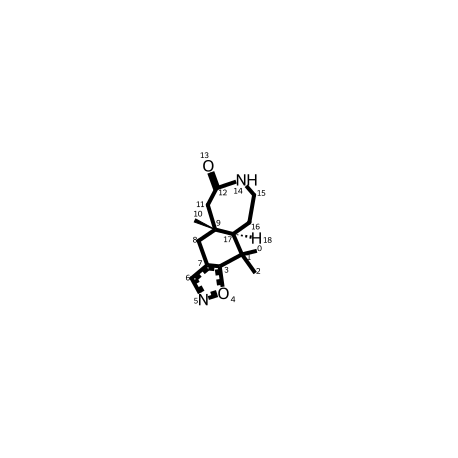 CC1(C)c2oncc2C[C@]2(C)CC(=O)NCC[C@@H]12